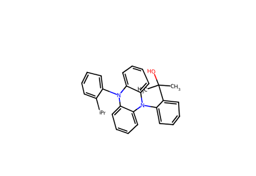 CC(C)c1ccccc1N1c2ccccc2N(c2ccccc2C(C)(C)O)c2ccccc21